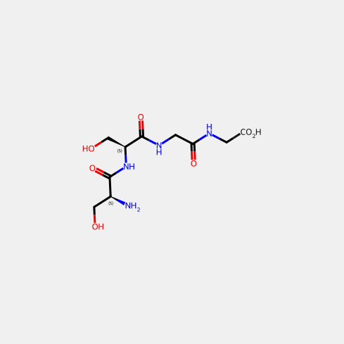 N[C@@H](CO)C(=O)N[C@@H](CO)C(=O)NCC(=O)NCC(=O)O